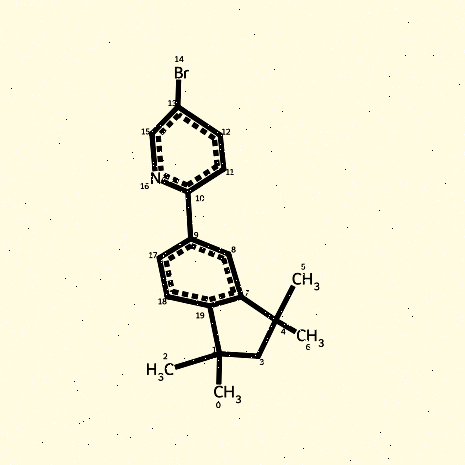 CC1(C)CC(C)(C)c2cc(-c3ccc(Br)cn3)ccc21